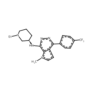 CCN1CCC[C@@H](Nc2nnc(-c3ccc(C(F)(F)F)cc3)c3ccn(C)c23)C1